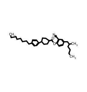 CCCCCCCCc1ccc(C2CCC(C(=O)Oc3ccc(CC(C)CCCC)cc3C#N)CC2)cc1